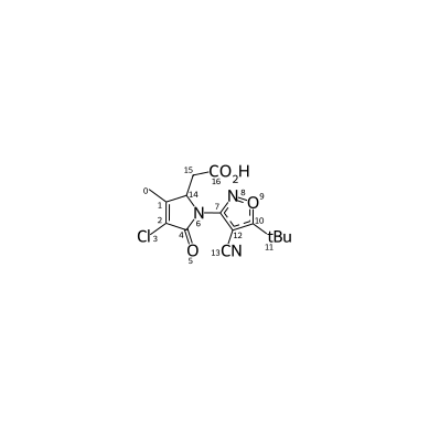 CC1=C(Cl)C(=O)N(c2noc(C(C)(C)C)c2C#N)C1CC(=O)O